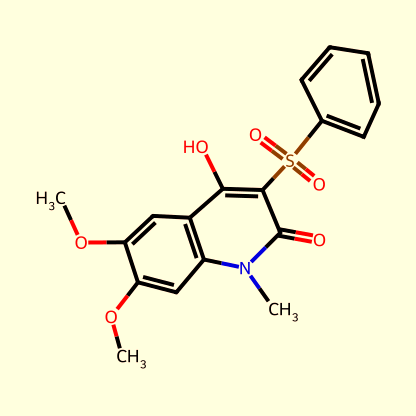 COc1cc2c(O)c(S(=O)(=O)c3ccccc3)c(=O)n(C)c2cc1OC